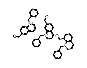 O=Cc1ccc2c(ccc[n+]2Cc2ccccc2)c1.O=Cc1ccc2ccc[n+](Cc3ccccc3)c2c1.O=Cc1cccc2c1N(Cc1ccccc1)CC=C2